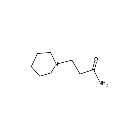 NC(=O)[CH]CN1CCCCC1